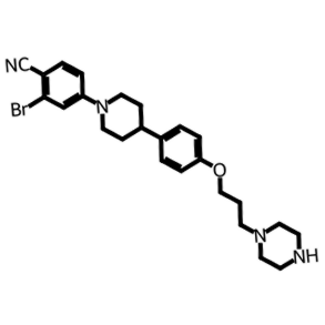 N#Cc1ccc(N2CCC(c3ccc(OCCCN4CCNCC4)cc3)CC2)cc1Br